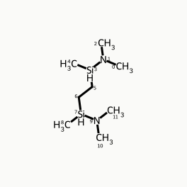 CN(C)[SiH](C)CC[SiH](C)N(C)C